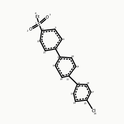 CCS(=O)(=O)c1ccc(-c2ccc(-c3ccc(Cl)cc3)cc2)cc1